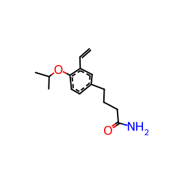 C=Cc1cc(CCCC(N)=O)ccc1OC(C)C